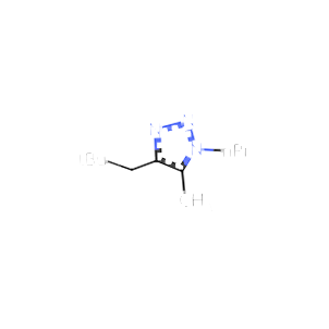 CCCn1nnc(CC(C)(C)C)c1C